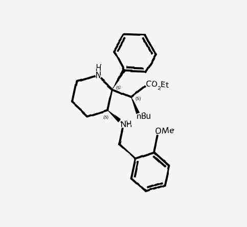 CCCC[C@H](C(=O)OCC)[C@@]1(c2ccccc2)NCCC[C@@H]1NCc1ccccc1OC